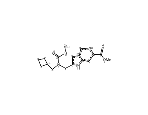 COC(=O)c1cc2[nH]c(CN(CC3CCC3)C(=O)OC(C)(C)C)cc2cn1